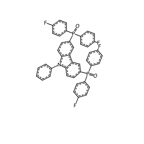 O=P(c1ccc(F)cc1)(c1ccc(F)cc1)c1ccc2c(c1)c1cc(P(=O)(c3ccc(F)cc3)c3ccc(F)cc3)ccc1n2-c1ccccc1